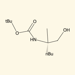 CCCC[C@](C)(CO)NC(=O)OC(C)(C)C